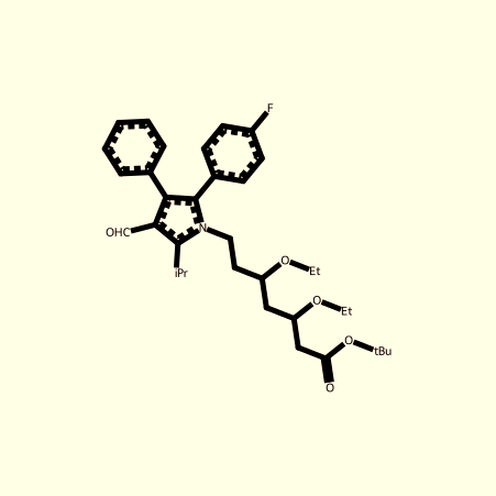 CCOC(CCn1c(-c2ccc(F)cc2)c(-c2ccccc2)c(C=O)c1C(C)C)CC(CC(=O)OC(C)(C)C)OCC